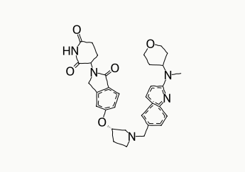 CN(c1ccc2cc(CN3CC[C@H](Oc4ccc5c(c4)CN(C4CCC(=O)NC4=O)C5=O)C3)ccc2n1)C1CCOCC1